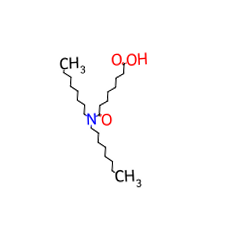 CCCCCCCCN(CCCCCCCC)C(=O)CCCCCCC(=O)O